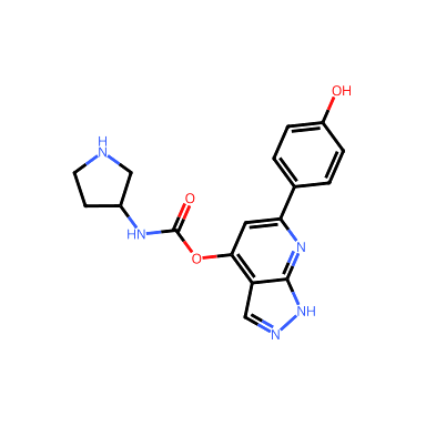 O=C(NC1CCNC1)Oc1cc(-c2ccc(O)cc2)nc2[nH]ncc12